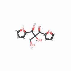 O=C(c1ccco1)C(O)(CO)C(=O)c1ccco1